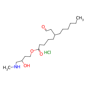 CCCCCCC(CC=O)CCCCC(=O)OCCC(O)CNC.Cl